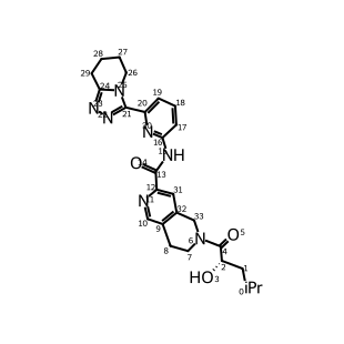 CC(C)C[C@H](O)C(=O)N1CCc2cnc(C(=O)Nc3cccc(-c4nnc5n4CCCC5)n3)cc2C1